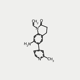 C=CN1C(=O)CCc2cc(-c3ccnc(C)c3)c(N)cc21